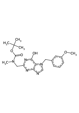 COc1cccc(Cn2cnc3nc(CN(C)C(=O)OC(C)(C)C)nc(O)c32)c1